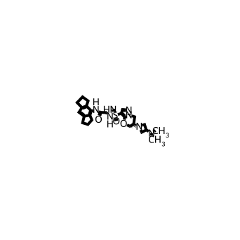 CN(C)C1CN([C@H]2COc3c(S(=N)(=O)NCC(=O)Nc4c5c(cc6c4CCC6)CCC5)cnn3C2)C1